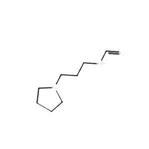 O=[C]NCCCN1CCCC1